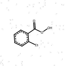 CCc1ccccc1C(=O)OO